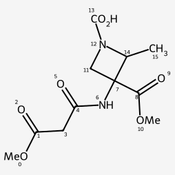 COC(=O)CC(=O)NC1(C(=O)OC)CN(C(=O)O)C1C